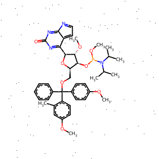 COc1ccc(C(OC[C@H]2OC(C3=NC(=O)N=C4N=CC=C43)[C@H](OC)[C@H]2OP(OC)N(C(C)C)C(C)C)(c2ccccc2)c2ccc(OC)cc2C)cc1